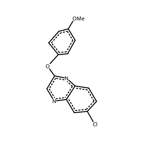 COc1ccc(Oc2cnc3cc(Cl)ccc3n2)cc1